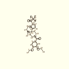 CCOc1ccc(C(=O)N2CCC3(CC2)c2ccc(C(=O)C(F)(F)F)n2CCN3C)cc1OCC